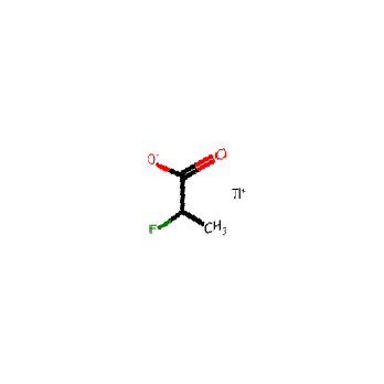 CC(F)C(=O)[O-].[Tl+]